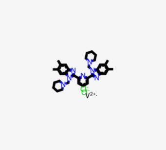 Cc1cc2nc(-c3cccc(-c4nc5cc(C)c(C)cc5n4CN4CCCCC4)n3)n(CN3CCCCC3)c2cc1C.[Cl-].[Cl-].[V+2]